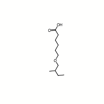 CCC(C)COCCCCCC(=O)O